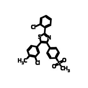 Cc1ccc(-c2sc(-c3ccccc3Cl)nc2-c2ccc(S(C)(=O)=O)cc2)cc1Cl